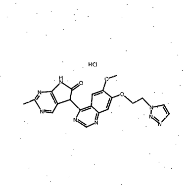 COc1cc2c(C3C(=O)Nc4nc(C)ncc43)ncnc2cc1OCCn1ccnn1.Cl